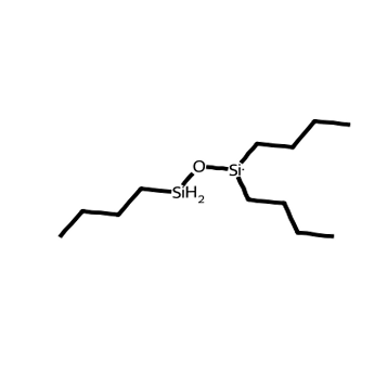 CCCC[SiH2]O[Si](CCCC)CCCC